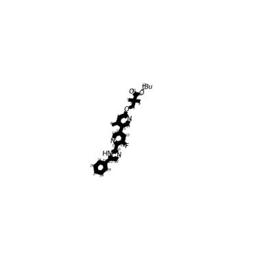 Cc1cc(OCC(C)(C)C(=O)OC(C)(C)C)ncc1-c1cnc(-c2ncc(-c3ccccc3)[nH]2)c(F)c1